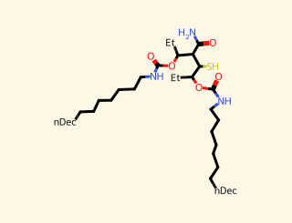 CCCCCCCCCCCCCCCCCNC(=O)OC(CC)C(S)C(C(N)=O)C(CC)OC(=O)NCCCCCCCCCCCCCCCCC